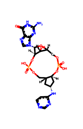 Nc1nc2c(ncn2[C@@H]2O[C@@H]3COP(=O)(O)O[C@H]4C[C@H](Nc5ccncn5)C[C@@H]4COP(=O)(O)O[C@@H]2[C@@H]3O)c(=O)[nH]1